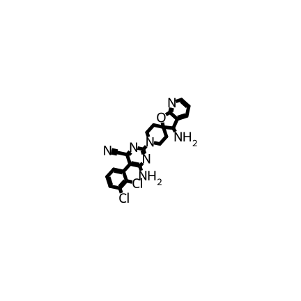 N#Cc1nc(N2CCC3(CC2)Oc2ncccc2C3N)nc(N)c1-c1cccc(Cl)c1Cl